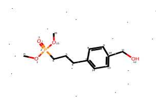 COP(=O)(CCCc1ccc(CO)cc1)OC